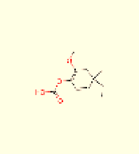 CCC1(C)C=CC(OC(=O)O)=C(OC)C1